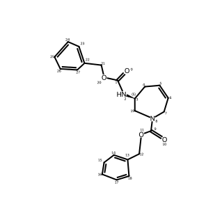 O=C(N[C@H]1CC=CCN(C(=O)OCc2ccccc2)C1)OCc1ccccc1